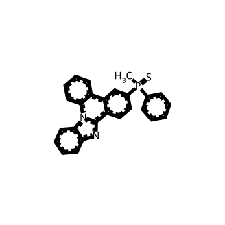 CP(=S)(c1ccccc1)c1ccc2c(c1)c1ccccc1n1c3ccccc3nc21